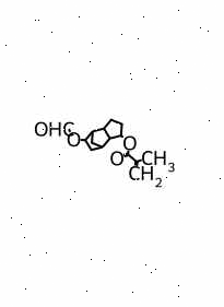 C=C(C)C(=O)OC1CCC2C3CC(CC3OC=O)C12